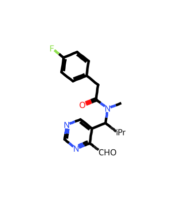 CC(C)C(c1cncnc1C=O)N(C)C(=O)Cc1ccc(F)cc1